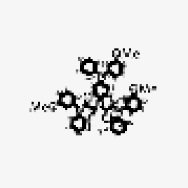 COc1cccc(N(c2ccccc2)c2ccc(N([C@@H](C)C(C)N(c3ccccc3)c3cccc(OC)c3)[C@@H](C)C(C)N(c3ccccc3)c3cccc(OC)c3)cc2)c1